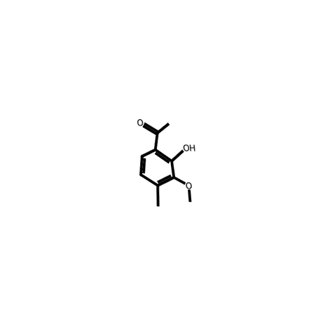 COc1c(C)ccc(C(C)=O)c1O